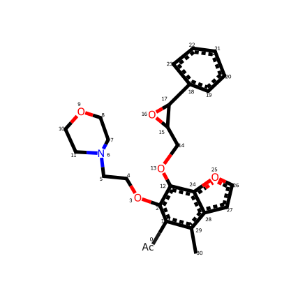 CC(=O)c1c(OCCN2CCOCC2)c(OCC2OC2c2ccccc2)c2occc2c1C